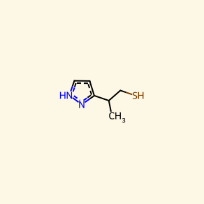 CC(CS)c1cc[nH]n1